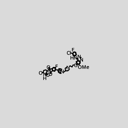 COc1cc2ncnc(Nc3ccc(F)c(Cl)c3)c2cc1OCCCN1CCC(CN2CC3CCC2CN3c2cc3c(cc2F)C(=O)N(C2CCC(=O)NC2=O)C3=O)CC1